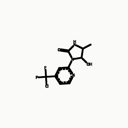 CC1NC(=O)N(c2cc(C(F)(F)Cl)ccn2)C1O